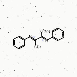 CCCCCC(=N\c1ccccc1)/C(CCCC)=N/c1ccccc1